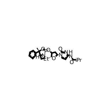 CC[C@H]1O[C@@H](n2ccc(NC(=O)C(C)C)nc2=O)CC1O[P@@]1O[C@@](C)(c2ccccc2)[C@@H]2CCN21